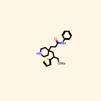 COCC(CC1(CCC(=O)Nc2ccccc2)CCNCC1)c1cccs1